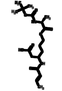 C/C=C/C(=O)NC(CCCOC(=O)[C@H](C)NC(=O)OC(C)(C)C)CC(=O)O